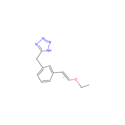 CCO/C=C/c1cccc(Cc2nnn[nH]2)c1